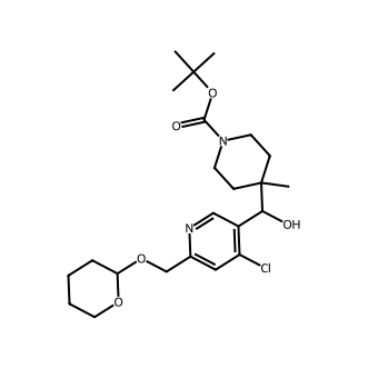 CC(C)(C)OC(=O)N1CCC(C)(C(O)c2cnc(COC3CCCCO3)cc2Cl)CC1